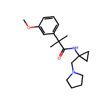 COc1cccc(C(C)(C)C(=O)NC2(CN3CCCC3)CC2)c1